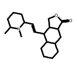 CC1CCCC(/C=C/C2C3CCCCC3CC3C(=O)OCC32)N1C